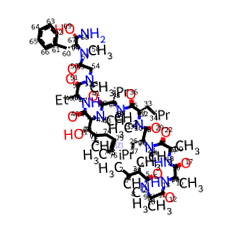 C=C(C)[C@@H](C)C(=O)N(C)[C@@H](C)C(=O)N[C@H](C)C(=O)N[C@@H](C)C(=O)N(C)[C@H](CC(C)C)C(=O)N(C)[C@H](CC(C)C)C(=O)N(C)[C@H](C(=O)N(C)C(C(=O)N[C@@H](CC)C(=O)N(C)CC(=O)N(C)[C@H](Cc1ccccc1)C(N)O)[C@@H](O)[C@H](C)C/C=C\C)C(C)C